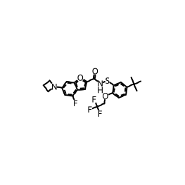 CC(C)(C)c1ccc(OCC(F)(F)F)c(SNC(=O)c2cc3c(F)cc(N4CCC4)cc3o2)c1